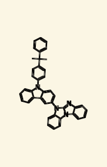 CC(C)(c1ccccc1)c1ccc(-n2c3ccccc3c3cc(-n4c5ccccc5n5c6ccccc6nc45)ccc32)cc1